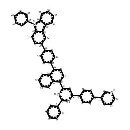 c1ccc(-c2nc(-c3ccc(-c4cccnc4)cc3)cc(-c3ccc(-c4ccc(-c5ccc6c(c5)c5ccccc5n6-c5ccccc5)cc4)c4ccccc34)n2)cc1